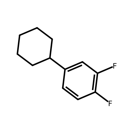 Fc1ccc(C2CCCCC2)cc1F